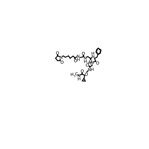 CNC(=O)C(OCNC(=O)CNC(=O)C(Cc1ccccc1)NC(=O)CNC(=O)CNC(=O)CCCCCN1C(=O)CCC1=O)C1CC1